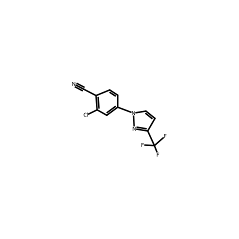 N#Cc1ccc(-n2ccc(C(F)(F)F)n2)cc1Cl